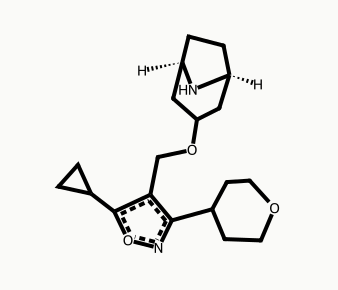 C1CC(c2noc(C3CC3)c2COC2C[C@H]3CC[C@@H](C2)N3)CCO1